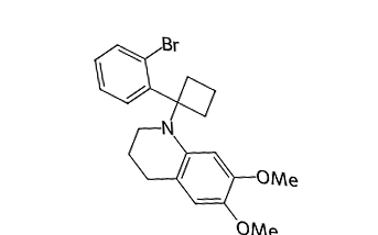 COc1cc2c(cc1OC)N(C1(c3ccccc3Br)CCC1)CCC2